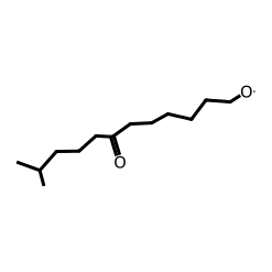 CC(C)CCCC(=O)CCCCCC[O]